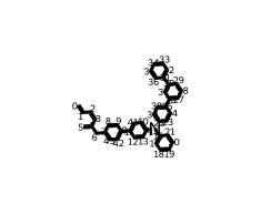 C=C/C=C\C(=C)Cc1ccc(-c2ccc(N(c3ccccc3)c3ccc(-c4cccc(-c5ccccc5)c4)cc3)cc2)cc1